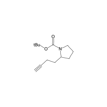 C#CCCC1CCCN1C(=O)OC(C)(C)C